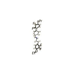 CCCc1ccc(C2=CCC(/C=C/CCc3ccc(OCC)c(F)c3F)CC2)c(F)c1F